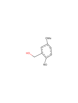 COc1ccc(N=O)c(CO)c1